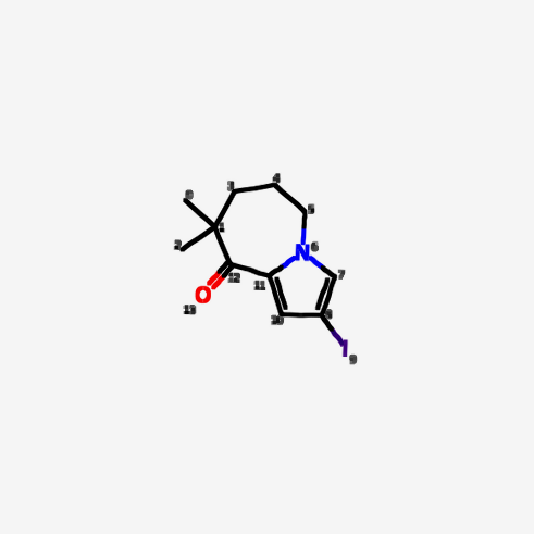 CC1(C)CCCn2cc(I)cc2C1=O